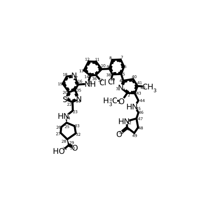 COc1nc(-c2cccc(-c3cccc(Nc4nccc5sc(CN[C@H]6CC[C@H](C(=O)O)CC6)nc45)c3Cl)c2Cl)cc(C)c1CNCC1CCC(=O)N1